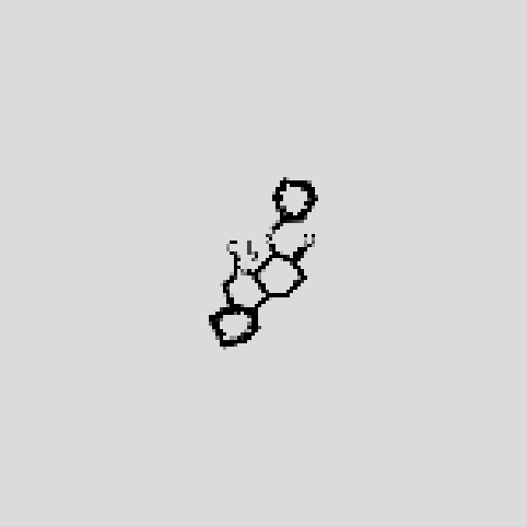 CN1Cc2ccccc2C2CCC(=O)C(Sc3ccccc3)C21